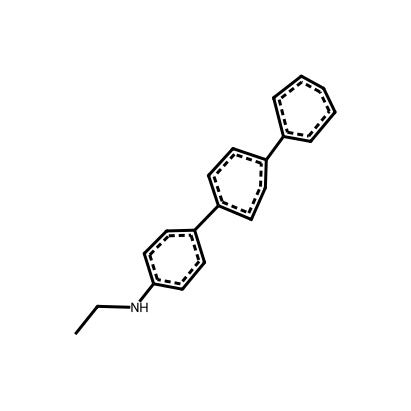 CCNc1ccc(-c2ccc(-c3ccccc3)cc2)cc1